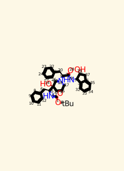 CC(C)(C)OC(=O)N[C@@H](Cc1ccccc1)[C@]1(O)CCCN([C@@H](Cc2ccccc2)C(=O)N[C@H]2c3ccccc3C[C@H]2O)C1